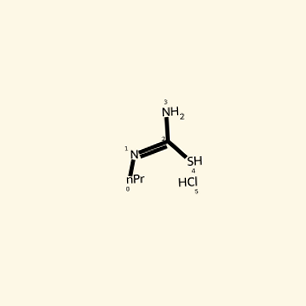 CCCN=C(N)S.Cl